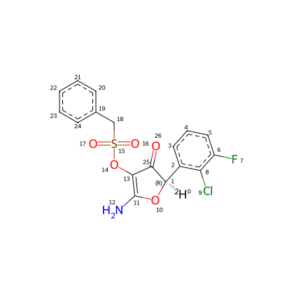 [2H][C@]1(c2cccc(F)c2Cl)OC(N)=C(OS(=O)(=O)Cc2ccccc2)C1=O